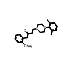 COc1ccccc1CC(=O)CCN1C[CH]N(c2c(C)cccc2C)CC1